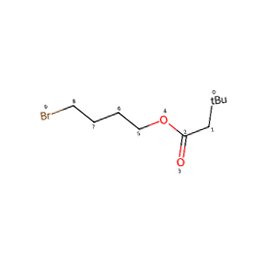 CC(C)(C)CC(=O)OCCCCBr